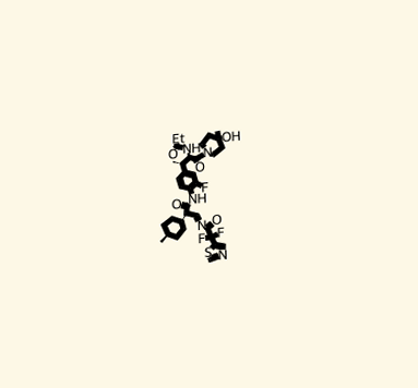 CCC(=O)N[C@@H](C(=O)N1CCC(C)(O)CC1)[C@@H](C)c1ccc(NC(=O)C(/C=N/C(=O)C(F)(F)c2cncs2)[C@H]2CC[C@H](C)CC2)c(F)c1